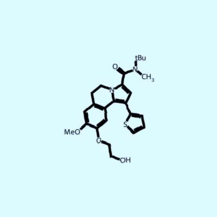 COc1cc2c(cc1OCCO)-c1c(-c3cccs3)cc(C(=O)N(C)C(C)(C)C)n1CC2